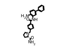 NC(=O)[C@@H]1CCCN1Cc1ccc(C(=O)Nc2cc(-c3ccccc3)ccc2N)cc1